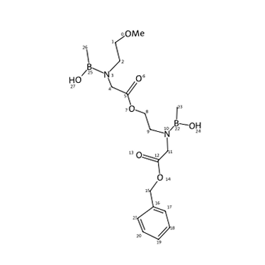 COCCN(CC(=O)OCCN(CC(=O)OCc1ccccc1)B(C)O)B(C)O